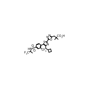 CC(NS(=O)(=O)c1ccc(-c2sc(-c3nnc(CC(C)(C)C(=O)O)o3)nc2CC2CCC2)c(C(F)(F)F)c1)C(F)(F)F